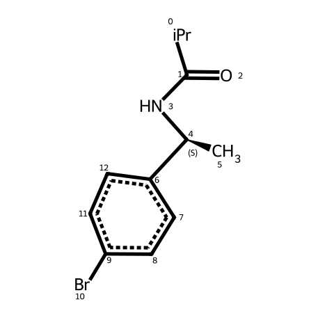 CC(C)C(=O)N[C@@H](C)c1ccc(Br)cc1